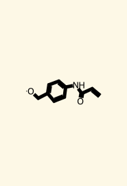 C=CC(=O)Nc1ccc(C[O])cc1